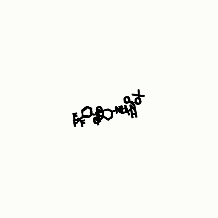 CC(C)(CNC1CCC(F)(S(=O)(=O)c2cccc(C(F)(F)F)c2)CC1)NC(=O)OC(C)(C)C